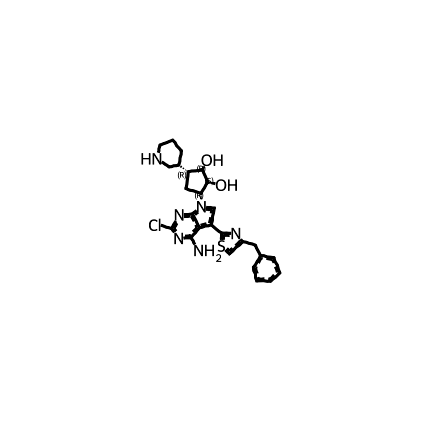 Nc1nc(Cl)nc2c1c(-c1nc(Cc3ccccc3)cs1)cn2[C@@H]1C[C@H](C2CCCNC2)[C@@H](O)[C@H]1O